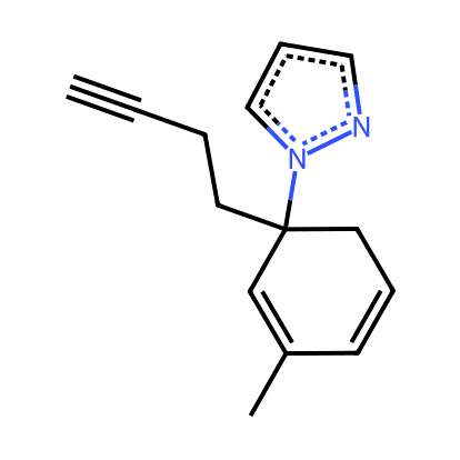 C#CCCC1(n2cccn2)C=C(C)C=CC1